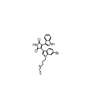 O=C1NC(=O)C(c2cn(CCCN=C=S)c3cc(Br)ccc23)=C1c1c[nH]c2ccccc12